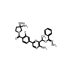 CNC1(N)CCN(C(=O)c2ccc(-c3cnc(N)c(C(C)O/C(=N\N)c4ccccc4)n3)cc2F)C1